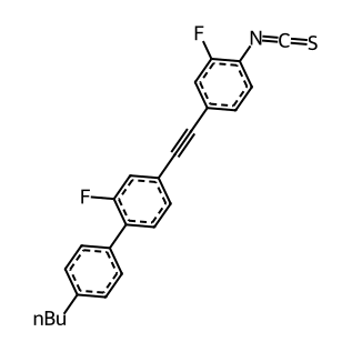 CCCCc1ccc(-c2ccc(C#Cc3ccc(N=C=S)c(F)c3)cc2F)cc1